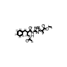 CCOC(=O)C(C)n1nnc(NC(=O)C(CSC(C)=O)Cc2ccccc2)n1